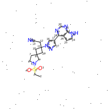 CCS(=O)(=O)N1CCC2(C1)CC(CC#N)(n1cc(-c3ncnc4[nH]ccc34)cn1)C2